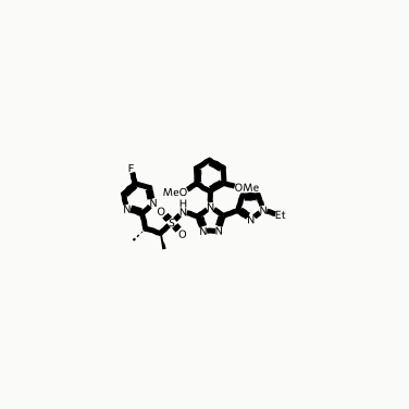 CCn1ccc(-c2nnc(NS(=O)(=O)[C@@H](C)[C@H](C)c3ncc(F)cn3)n2-c2c(OC)cccc2OC)n1